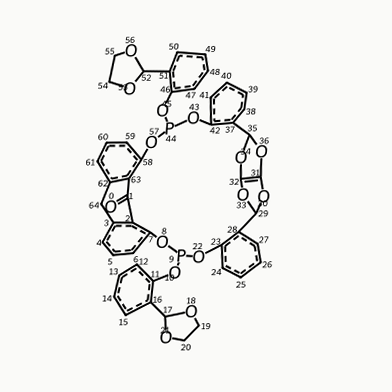 O=C1c2c3cccc2OP(Oc2ccccc2C2OCCO2)Oc2ccccc2C2OC4=C(O2)OC(O4)c2ccccc2OP(Oc2ccccc2C2OCCO2)Oc2cccc(c21)C3